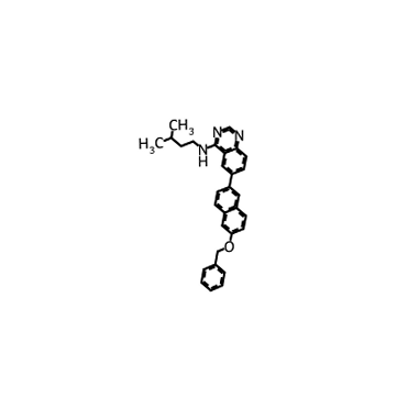 CC(C)CCNc1ncnc2ccc(-c3ccc4cc(OCc5ccccc5)ccc4c3)cc12